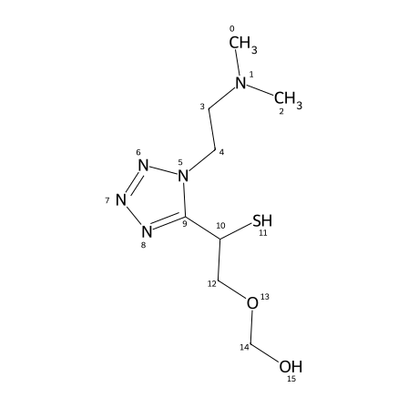 CN(C)CCn1nnnc1C(S)COCO